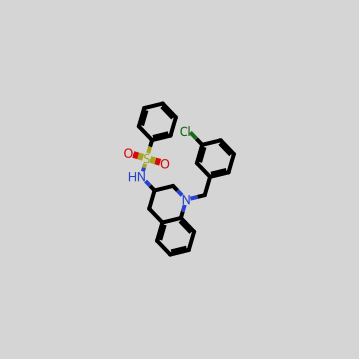 O=S(=O)(NC1Cc2ccccc2N(Cc2cccc(Cl)c2)C1)c1ccccc1